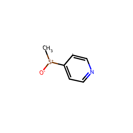 C[S+]([O-])c1[c]cncc1